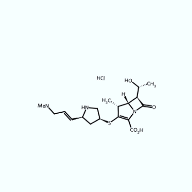 CNC/C=C/[C@@H]1C[C@H](SC2=C(C(=O)O)N3C(=O)[C@H]([C@@H](C)O)[C@H]3[C@H]2C)CN1.Cl